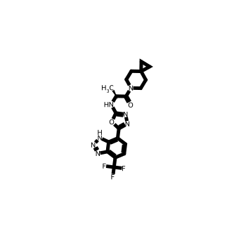 C[C@H](Nc1nnc(-c2ccc(C(F)(F)F)c3nn[nH]c23)o1)C(=O)N1CCC2(CC1)CC2